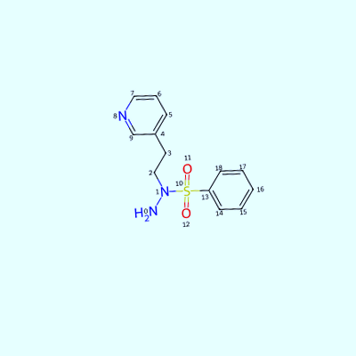 NN(CCc1cccnc1)S(=O)(=O)c1ccccc1